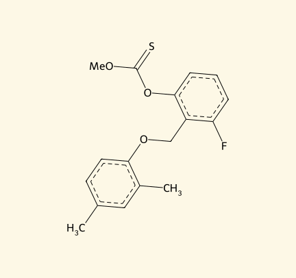 COC(=S)Oc1cccc(F)c1COc1ccc(C)cc1C